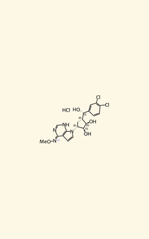 CO/N=c1\nc[nH]c2c1ccn2[C@@H]1C[C@H]([C@H](O)c2ccc(Cl)c(Cl)c2)[C@@H](O)[C@H]1O.Cl